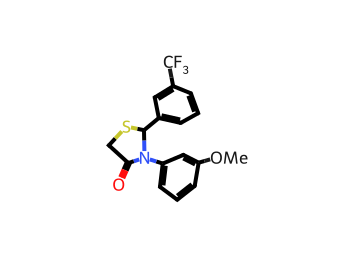 COc1cccc(N2C(=O)CSC2c2cccc(C(F)(F)F)c2)c1